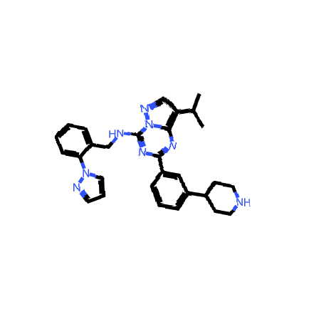 CC(C)c1cnn2c(NCc3ccccc3-n3cccn3)nc(-c3cccc(C4CCNCC4)c3)nc12